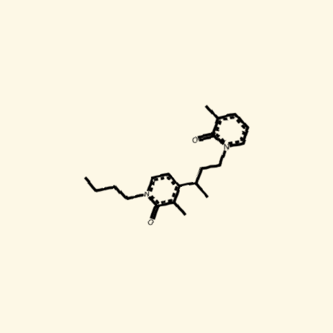 CCCCn1ccc(C(C)CCn2cccc(C)c2=O)c(C)c1=O